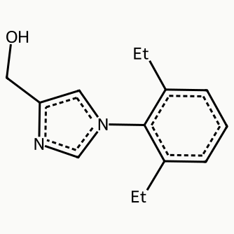 CCc1cccc(CC)c1-n1cnc(CO)c1